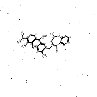 CC[C@@H]1CN(Cc2cc(C(c3ccc(N(N)CC)c(N)c3C)C(C)(C)C)ccc2C)[S+]([O-])c2ccccc2O1